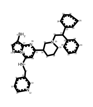 Bc1cnn2c(NCc3cccnc3)cc(C3CCCN(CC(c4ccccc4)c4ccccc4)C3)nc12